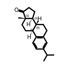 CC(C)c1ccc2c(c1)CC[C@@H]1[C@@H]2CC[C@]2(C)C(=O)CC[C@@H]12